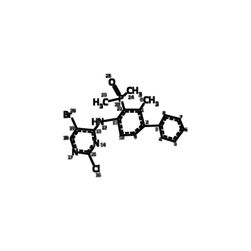 Cc1c(-c2ccccc2)ccc(Nc2nc(Cl)ncc2Br)c1P(C)(C)=O